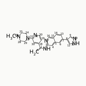 C=C(Nc1cc2cc(-c3cn[nH]c3)ccc2cn1)c1ccnc(N2CCN(C)CC2)c1